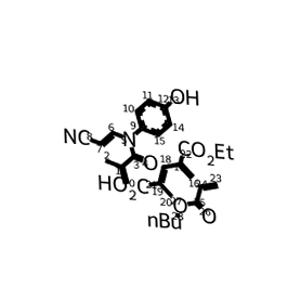 C=C(C)C(=O)N(C=CC#N)c1ccc(O)cc1.C=C(C=C(C)C(=O)O)C(=O)OCC.C=CC(=O)OCCCC